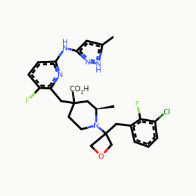 Cc1cc(Nc2ccc(F)c(CC3(C(=O)O)CCN(C4(Cc5cccc(Cl)c5F)COC4)[C@H](C)C3)n2)n[nH]1